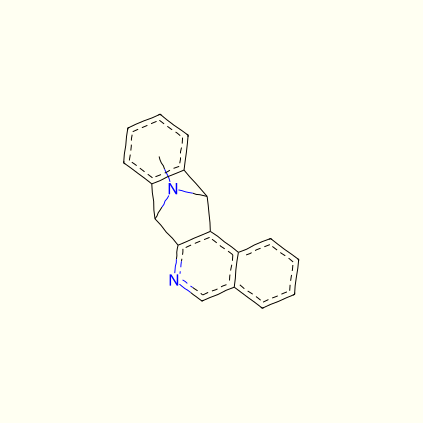 CN1C2c3ccccc3C1c1c2ncc2ccccc12